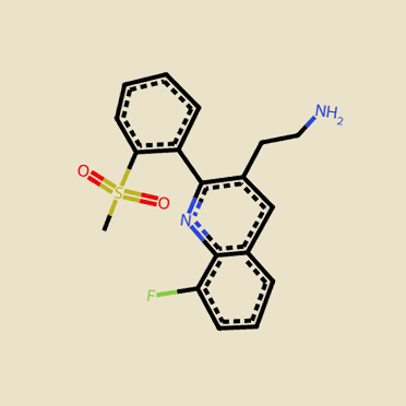 CS(=O)(=O)c1ccccc1-c1nc2c(F)cccc2cc1CCN